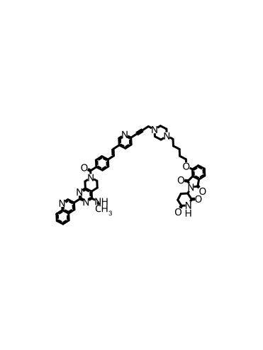 CNc1nc(-c2cnc3ccccc3c2)nc2c1CCN(C(=O)c1ccc(/C=C/c3ccc(C#CCN4CCN(CCCCCOc5cccc6c5C(=O)N(C5CCC(=O)NC5=O)C6=O)CC4)nc3)cc1)C2